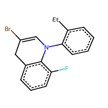 CCc1ccccc1N1C=C(Br)Cc2cccc(F)c21